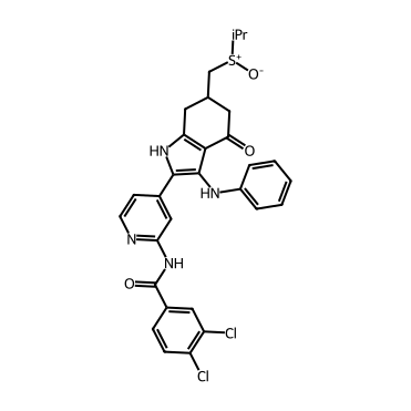 CC(C)[S+]([O-])CC1CC(=O)c2c([nH]c(-c3ccnc(NC(=O)c4ccc(Cl)c(Cl)c4)c3)c2Nc2ccccc2)C1